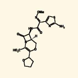 CON=C(C(=O)N[C@@H]1C(=O)N2C(C(=O)O)=C(C3CCCO3)OC[C@H]12)c1csc(N)n1